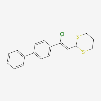 ClC(=CC1SCCCS1)c1ccc(-c2ccccc2)cc1